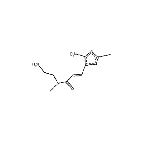 CN(CCN)C(=O)C=Cc1cn(C)nc1[N+](=O)[O-]